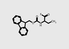 CCC(NC(=O)OCC1c2ccccc2-c2ccccc21)C(=O)F